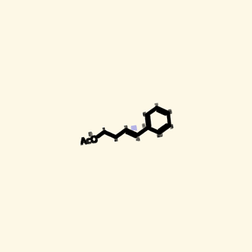 CC(=O)OCC/C=C/c1ccccc1